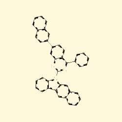 c1ccc(-c2nc(-n3c4ccccc4c4cc5ccccc5cc43)nc3cc(-c4ccc5ccccc5c4)ccc23)cc1